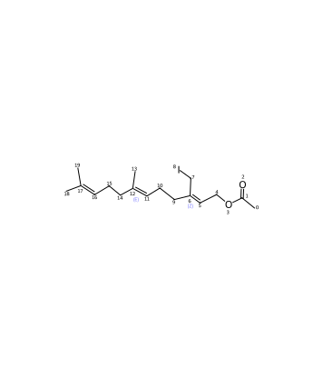 CC(=O)OC/C=C(\CI)CC/C=C(\C)CCC=C(C)C